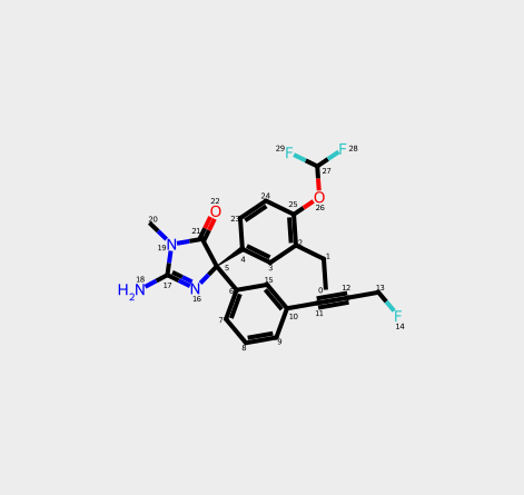 CCc1cc([C@@]2(c3cccc(C#CCF)c3)N=C(N)N(C)C2=O)ccc1OC(F)F